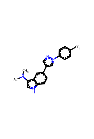 CC(=O)N(C)c1c[nH]c2ccc(-c3cnn(-c4ccc(C(F)(F)F)cc4)c3)cc12